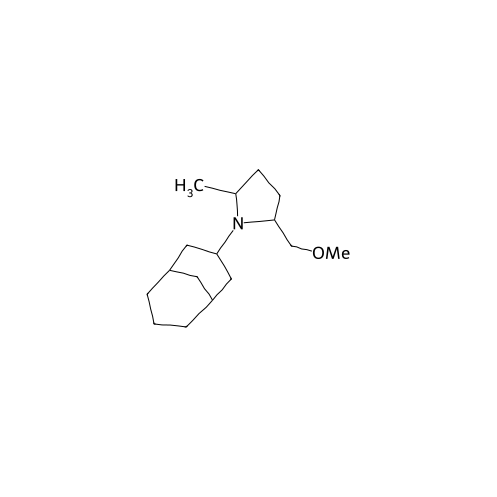 COCC1CCC(C)N1C1CC2CCCC(C2)C1